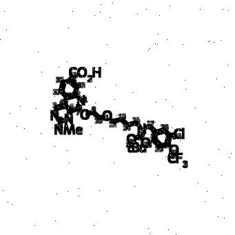 CNc1ncc2c(n1)c(OCCOCCCCN(Cc1ccc(OC(F)(F)F)c(Cl)c1)C(=O)OC(C)(C)C)nc1cc(C(=O)O)ccc12